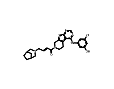 O=C(/C=C/CN1CC2CCC(C2)C1)N1CCc2c(sc3ncnc(Nc4cc(O)cc(Cl)c4)c23)C1